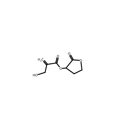 C=C(CO)C(=O)OC1CCOC1=O